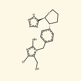 CCCCc1nc(Cl)c(CO)n1Cc1ccc([C@H]2CCCC[C@@H]2c2nnn[nH]2)cc1